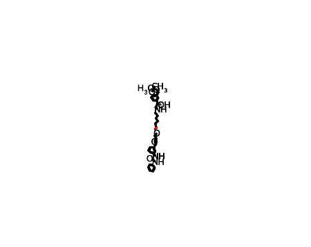 CC1(C)OCc2cc([C@H](O)CNCCCCCCCOCCOCc3cccc(NC(=O)Nc4ccccc4)c3)ccc2O1